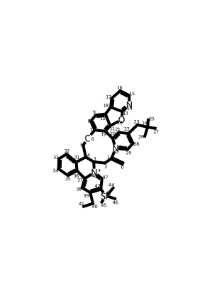 C=C1CC2C(CCc3ccc4c(oc5ncccc54)c3-c3cc(CC(C)(C)C)cc[n+]31)c1ccccc1-c1cc(CC)c([Si](C)(C)C)c[n+]12